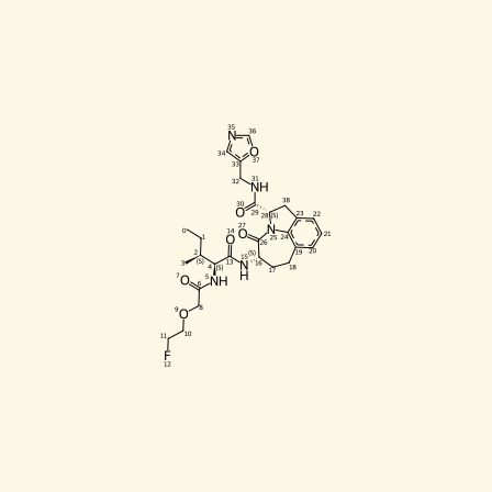 CC[C@H](C)[C@H](NC(=O)COCCF)C(=O)N[C@H]1CCc2cccc3c2N(C1=O)[C@H](C(=O)NCc1cnco1)C3